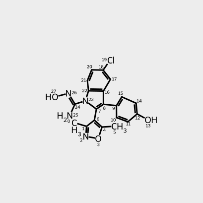 Cc1noc(C)c1-c1c(-c2ccc(O)cc2)c2cc(Cl)ccc2n1/C(N)=N/O